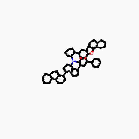 C1=Cc2ccc3c(oc4ccc(-c5ccccc5N(c5ccc(-c6cccc7c6ccc6ccccc67)cc5)c5ccc(-c6ccccc6)cc5-c5ccccc5)cc43)c2CC1